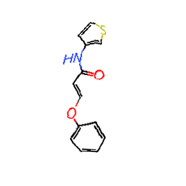 O=C(C=COc1ccccc1)Nc1ccsc1